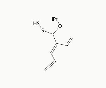 C=C/C=C(\C=C)C(OC(C)C)SS